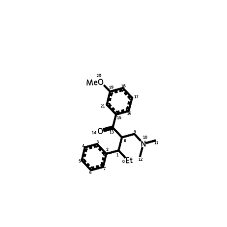 CCC(c1ccccc1)C(CN(C)C)C(=O)c1cccc(OC)c1